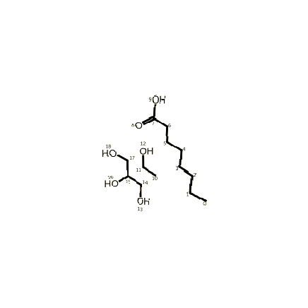 CCCCCCCC(=O)O.CCO.OCC(O)CO